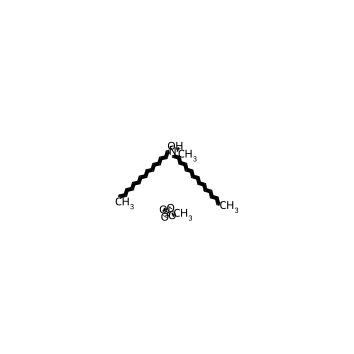 CCCCCCCCCCCCCCCC[N+](O)(CC)CCCCCCCCCCCCCCCC.COS(=O)(=O)[O-]